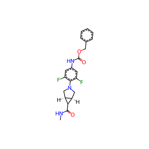 CNC(=O)C1[C@H]2CN(c3c(F)cc(NC(=O)OCc4ccccc4)cc3F)C[C@@H]12